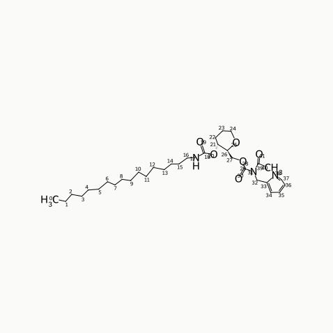 CCCCCCCCCCCCCCCCCNC(=O)O[C@@H]1CCCO[C@H]1COC(=O)N(Cc1ccccn1)C(C)=O